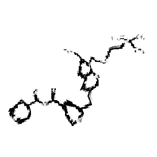 C[Si](C)(C)CCOCn1c(C(F)(F)F)cc2cc(Cc3cc(C(=O)OC(=O)c4ccncc4)ccn3)cnc21